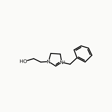 OCCN1C=[N+](Cc2ccccc2)CC1